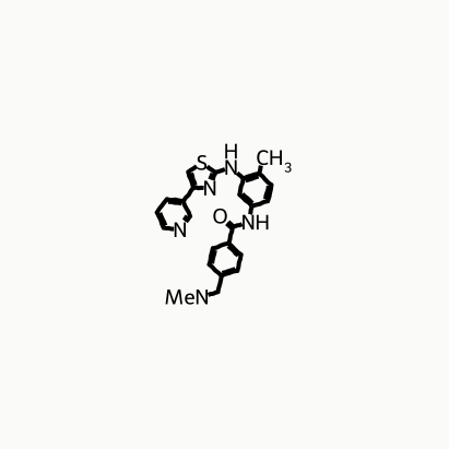 CNCc1ccc(C(=O)Nc2ccc(C)c(Nc3nc(-c4cccnc4)cs3)c2)cc1